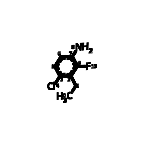 CCc1c(Cl)ccc(N)c1F